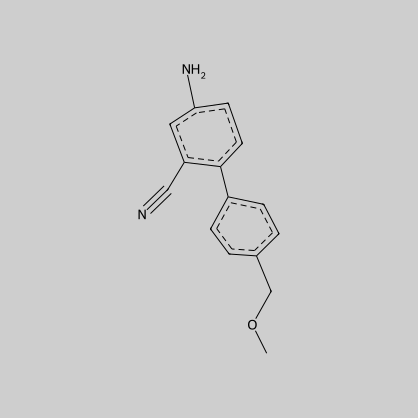 COCc1ccc(-c2ccc(N)cc2C#N)cc1